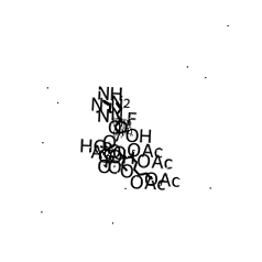 CC(=O)OCC(OC(C)=O)C1OC(OP(=O)(O)OP(=O)(O)OC[C@H]2O[C@@H](n3cnc4c(N)ncnc43)[C@H](F)[C@@H]2O)C(OC(C)=O)C(OC(C)=O)C1OC(C)=O